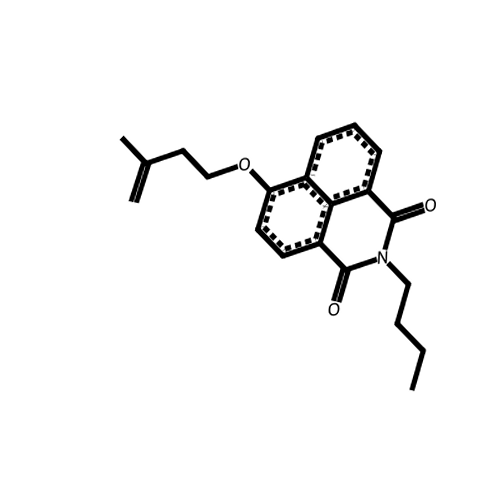 C=C(C)CCOc1ccc2c3c(cccc13)C(=O)N(CCCC)C2=O